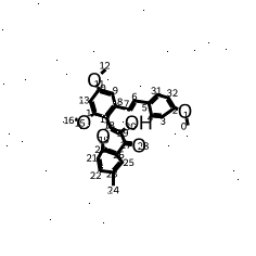 COc1ccc(C=Cc2cc(OC)cc(OC)c2-c2oc3ccc(C)cc3c(=O)c2O)cc1